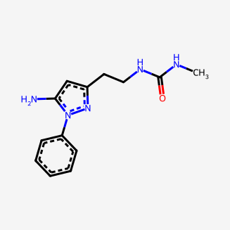 CNC(=O)NCCc1cc(N)n(-c2ccccc2)n1